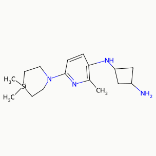 Cc1nc(N2CC[Si](C)(C)CC2)ccc1NC1CC(N)C1